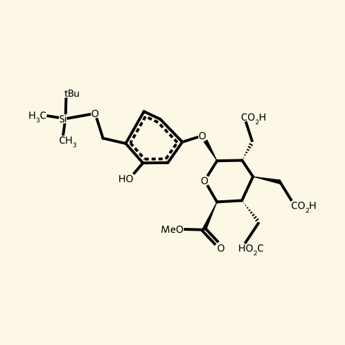 COC(=O)[C@H]1O[C@@H](Oc2ccc(CO[Si](C)(C)C(C)(C)C)c(O)c2)[C@H](CC(=O)O)[C@@H](CC(=O)O)[C@@H]1CC(=O)O